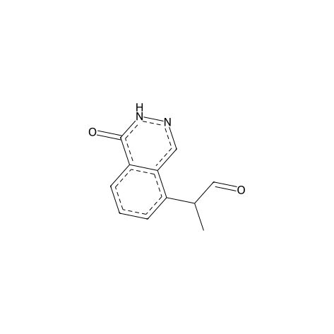 CC(C=O)c1cccc2c(=O)[nH]ncc12